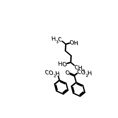 CC(O)CCC(C)O.O=C(O)C(=O)c1ccccc1.O=C(O)c1ccccc1